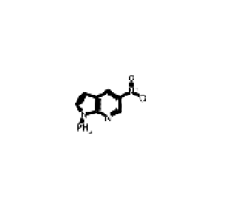 O=[N+]([O-])c1cnc2c(ccn2P)c1